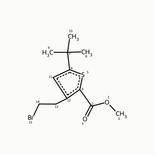 COC(=O)c1sc(C(C)(C)C)cc1CCBr